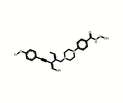 C/C=C(CN1CCN(c2ccc(C(=O)NSO)cc2)CC1)\C(C#Cc1ccc(OCC)cc1)=C/CCC